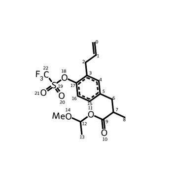 C=CCc1cc(CC(C)C(=O)OC(C)OC)ccc1OS(=O)(=O)C(F)(F)F